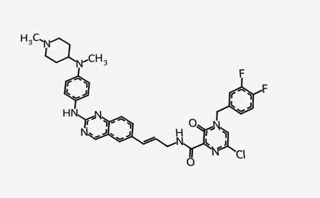 CN1CCC(N(C)c2ccc(Nc3ncc4cc(/C=C/CNC(=O)c5nc(Cl)cn(Cc6ccc(F)c(F)c6)c5=O)ccc4n3)cc2)CC1